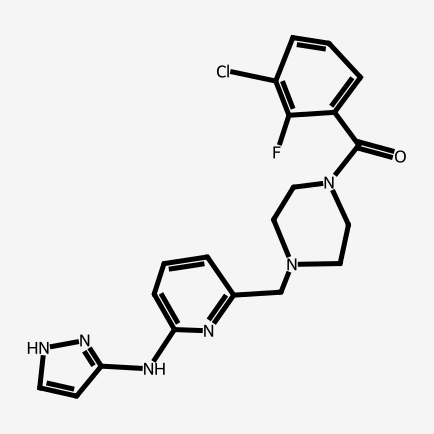 O=C(c1cccc(Cl)c1F)N1CCN(Cc2cccc(Nc3cc[nH]n3)n2)CC1